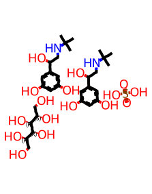 CC(C)(C)NCC(O)c1cc(O)cc(O)c1.CC(C)(C)NCC(O)c1cc(O)cc(O)c1.O=S(=O)(O)O.OC[C@@H](O)[C@@H](O)[C@H](O)[C@@H](O)CO